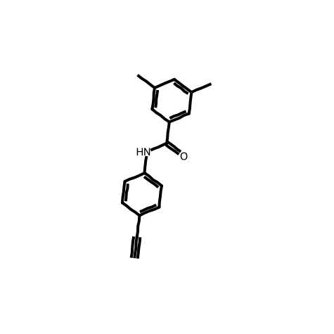 C#Cc1ccc(NC(=O)c2cc(C)cc(C)c2)cc1